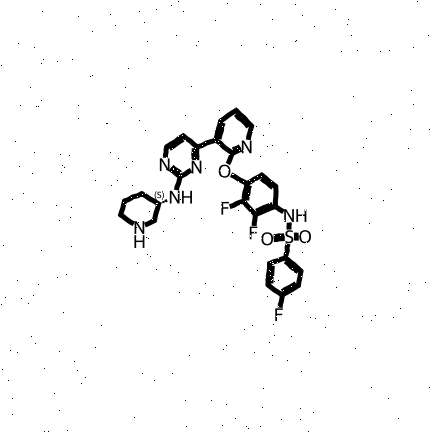 O=S(=O)(Nc1ccc(Oc2ncccc2-c2ccnc(N[C@H]3CCCNC3)n2)c(F)c1F)c1ccc(F)cc1